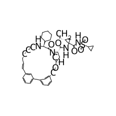 C=C[C@@H]1C[C@]1(NC(=O)[C@@H]1C[C@@H]2CN1C(=O)[C@H](C1CCCCC1)NCCCC/C=C/c1cccc(c1)-c1cccc(c1)CO2)C(=O)NS(=O)(=O)C1CC1